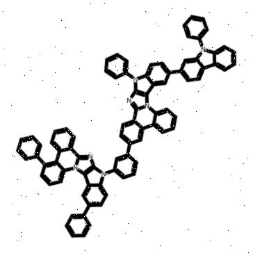 c1ccc(-c2ccc3c(c2)c2c(nc4c5ccccc5c5c(-c6ccccc6)cccc5n42)n3-c2cccc(-c3ccc4c(c3)c3ccccc3n3c4nc4c3c3cc(-c5ccc6c7ccccc7n(-c7ccccc7)c6c5)ccc3n4-c3ccccc3)c2)cc1